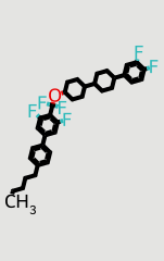 CCCCCc1ccc(-c2cc(F)c(C(F)(F)OC3CCC(C4CCC(c5ccc(F)c(F)c5)CC4)CC3)c(F)c2)cc1